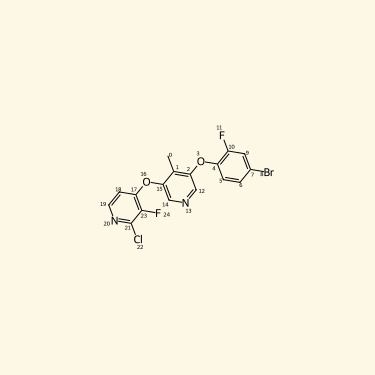 Cc1c(Oc2ccc(Br)cc2F)cncc1Oc1ccnc(Cl)c1F